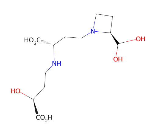 O=C(O)[C@H](CCN1CC[C@H]1C(O)O)NCC[C@H](O)C(=O)O